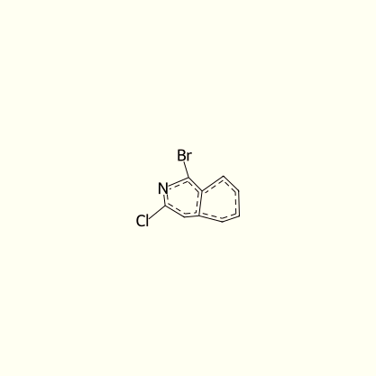 Clc1cc2ccccc2c(Br)n1